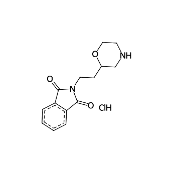 Cl.O=C1c2ccccc2C(=O)N1CCC1CNCCO1